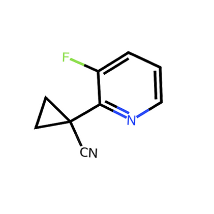 N#CC1(c2ncccc2F)CC1